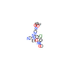 CCOc1c(-c2c(C)ccc3c2cnn3C2CCCCO2)c(Cl)cc2c(N3CCC4(CC3)CN(C(=O)OC(C)(C)C)C4)nc(C3CCN(C)CC3)nc12